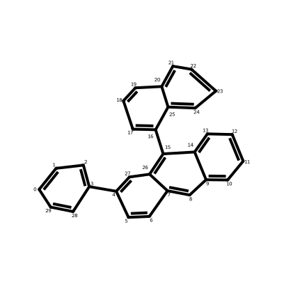 c1ccc(-c2ccc3cc4ccccc4c(-c4cccc5ccccc45)c3c2)cc1